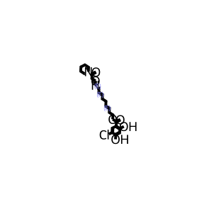 O=C(OCC/C=C/CC/C=C/C=N/OCC(=O)N1CCCCC1)c1cc(Cl)c(O)cc1O